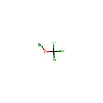 BrOC(Br)(Br)Br